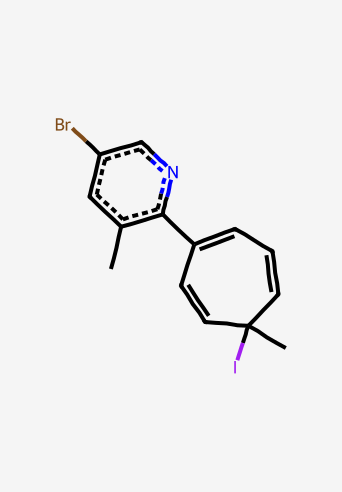 Cc1cc(Br)cnc1C1=CC=CC(C)(I)C=C1